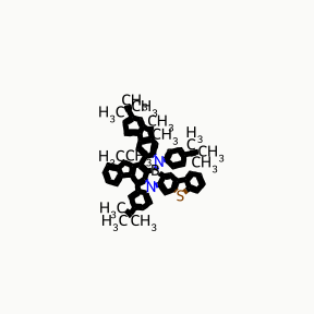 CC(C)(C)c1ccc(N2B3c4cc5c(cc4-n4c6ccc(C(C)(C)C)cc6c6c7c(c(c3c64)-c3cc4c(cc32)C(C)(C)c2cc(C(C)(C)C)ccc2-4)C(C)(C)c2ccccc2-7)sc2ccccc25)cc1